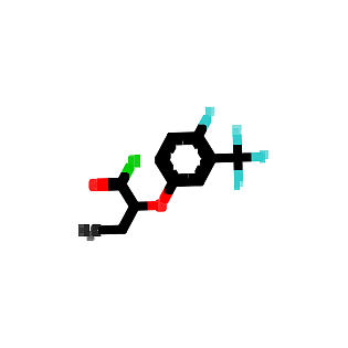 CCC(Oc1ccc(F)c(C(F)(F)F)c1)C(=O)Cl